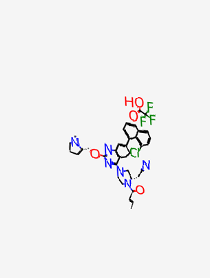 C/C=C/C(=O)N1CCN(c2nc(OC[C@@H]3CCCN3C)nc3c2CCC(c2cccc4cccc(Cl)c24)=C3)C[C@@H]1CC#N.O=C(O)C(F)(F)F